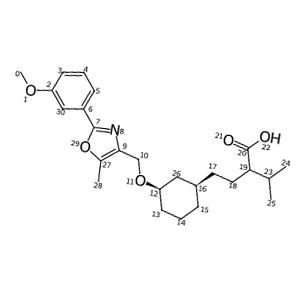 COc1cccc(-c2nc(CO[C@@H]3CCC[C@H](CCC(C(=O)O)C(C)C)C3)c(C)o2)c1